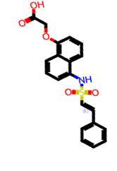 O=C(O)COc1cccc2c(NS(=O)(=O)/C=C/c3ccccc3)cccc12